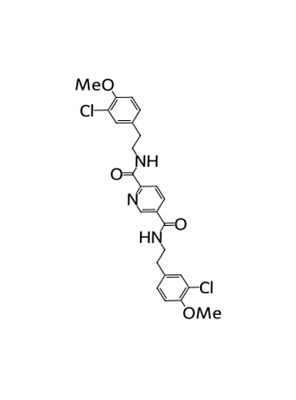 COc1ccc(CCNC(=O)c2ccc(C(=O)NCCc3ccc(OC)c(Cl)c3)nc2)cc1Cl